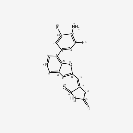 Nc1c(F)cc(-c2cncc3cc(/C=C4/SC(=S)NC4=O)oc23)cc1F